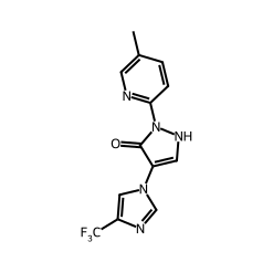 Cc1ccc(-n2[nH]cc(-n3cnc(C(F)(F)F)c3)c2=O)nc1